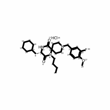 CCCCN1C(=O)[C@H](CC2CCCCC2)NC(=O)C12CCN(Cc1ccc(OC)c(F)c1)CC2.Cl